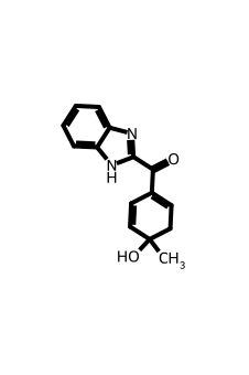 CC1(O)C=CC(C(=O)c2nc3ccccc3[nH]2)=CC1